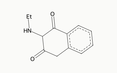 CCNC1C(=O)Cc2ccccc2C1=O